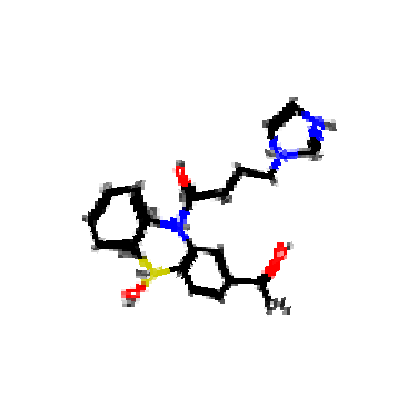 CC(=O)c1ccc2c(c1)N(C(=O)CCCn1ccnc1)c1ccccc1[S+]2[O-]